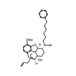 C=CCN1CC[C@]23c4c5ccc(OC)c4O[C@H]2[C@H](N(CCCCCCc2ccccc2)C(C)C)CC[C@@]3(O)[C@H]1C5